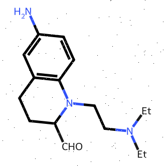 CCN(CC)CCN1c2ccc(N)cc2CCC1C=O